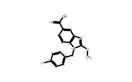 COc1nc2cc(C(=O)O)ccc2n1Cc1ccc(F)cc1